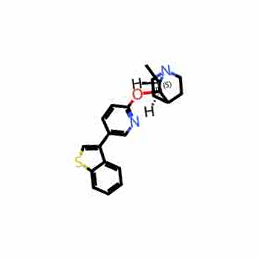 C[C@H]1[C@H](Oc2ccc(-c3csc4ccccc34)cn2)C2CCN1CC2